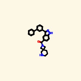 O=C(c1ccc2[nH]nc(-c3cccc(-c4ccccc4)c3)c2c1)N1CC2(CCCNC2)C1